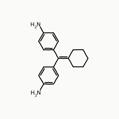 Nc1ccc(C(=C2CCCCC2)c2ccc(N)cc2)cc1